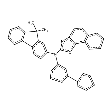 CC1(C)c2ccccc2-c2ccc(N(c3cccc(-c4ccccc4)c3)c3nc4ccc5ccccc5c4o3)cc21